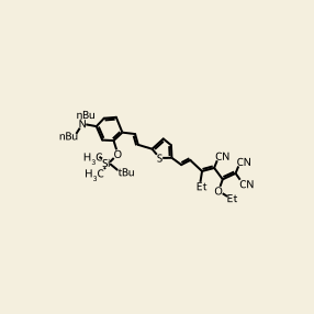 CCCCN(CCCC)c1ccc(/C=C/c2ccc(/C=C/C(CC)=C(\C#N)C(OCC)=C(C#N)C#N)s2)c(O[Si](C)(C)C(C)(C)C)c1